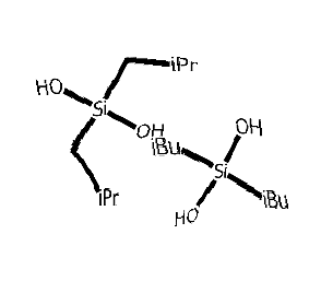 CC(C)C[Si](O)(O)CC(C)C.CCC(C)[Si](O)(O)C(C)CC